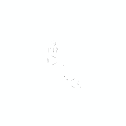 O=S(=O)(Nc1cccc(OCCNc2ccncc2)c1)C1CCCCC1